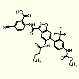 CCCC(=O)Nc1cc2c(C(=O)Nc3ccc(C#N)cc3C(=O)O)noc2cc1-c1ccc(NC(=O)OC)cc1C(F)(F)F